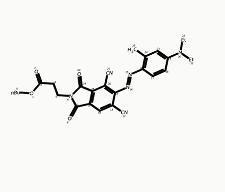 CCCCOC(=O)CCN1C(=O)c2cc(C#N)c(N=Nc3ccc(N(CC)CC)cc3C)c(C#N)c2C1=O